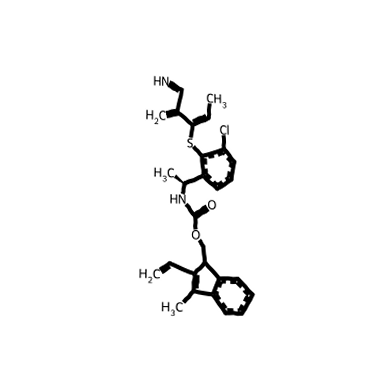 C=CC1=C(C)c2ccccc2C1COC(=O)N[C@@H](C)c1cccc(Cl)c1S/C(=C/C)C(=C)C=N